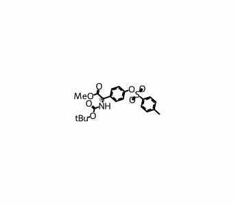 COC(=O)[C@H](NC(=O)OC(C)(C)C)c1ccc(OS(=O)(=O)c2ccc(C)cc2)cc1